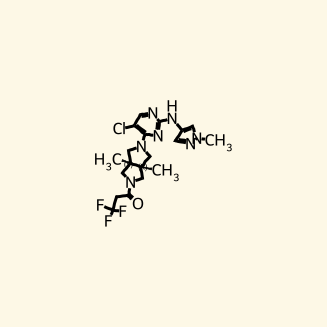 Cn1cc(Nc2ncc(Cl)c(N3C[C@]4(C)CN(C(=O)CC(F)(F)F)C[C@]4(C)C3)n2)cn1